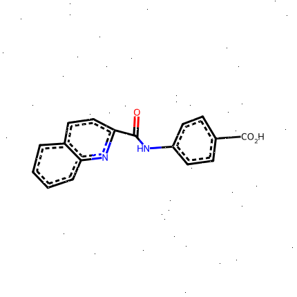 O=C(O)c1ccc(NC(=O)c2ccc3ccccc3n2)cc1